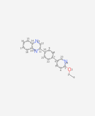 CCOc1ccc(-c2ccc(-c3cnc4ccccc4n3)cc2)cn1